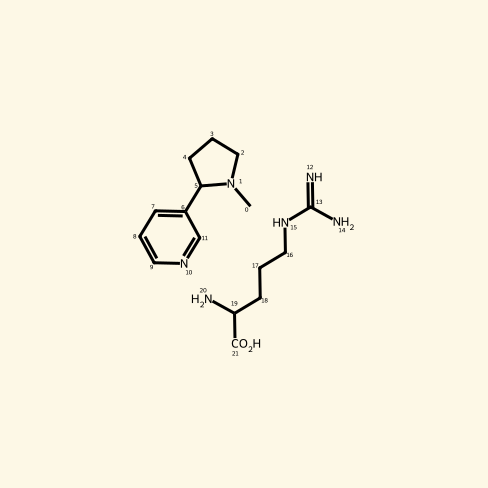 CN1CCCC1c1cccnc1.N=C(N)NCCCC(N)C(=O)O